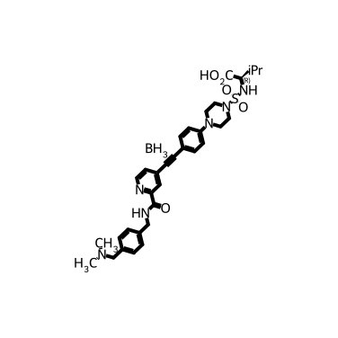 B.CC(C)[C@@H](NS(=O)(=O)N1CCN(c2ccc(C#Cc3ccnc(C(=O)NCc4ccc(CN(C)C)cc4)c3)cc2)CC1)C(=O)O